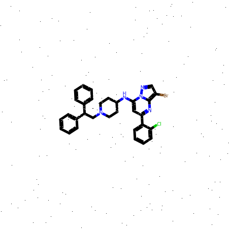 Clc1ccccc1-c1cc(NC2CCN(CC(c3ccccc3)c3ccccc3)CC2)n2ncc(Br)c2n1